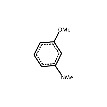 [CH2]Nc1cccc(OC)c1